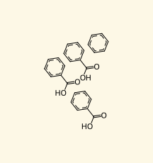 O=C(O)c1ccccc1.O=C(O)c1ccccc1.O=C(O)c1ccccc1.c1ccccc1